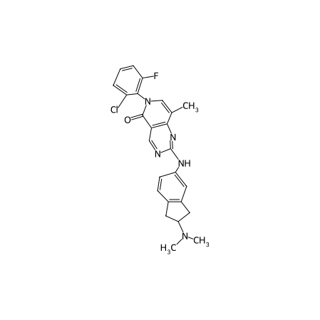 Cc1cn(-c2c(F)cccc2Cl)c(=O)c2cnc(Nc3ccc4c(c3)CC(N(C)C)C4)nc12